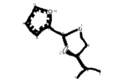 CC(C)C1COC(c2ccco2)O1